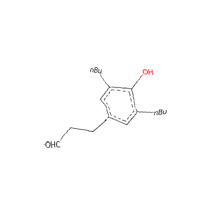 CCCCc1cc(CC[C]=O)cc(CCCC)c1O